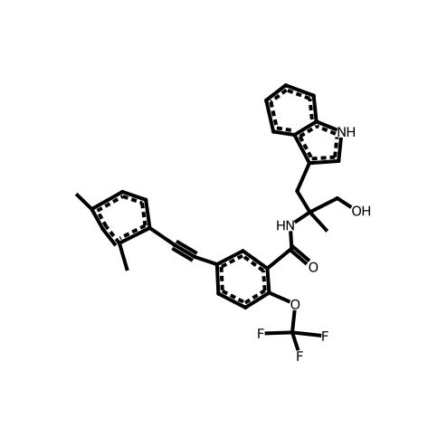 Cc1ccc(C#Cc2ccc(OC(F)(F)F)c(C(=O)NC(C)(CO)Cc3c[nH]c4ccccc34)c2)c(C)c1